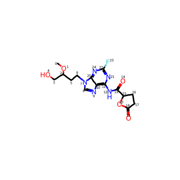 COC(CO)CCn1cnc2c(NC(=O)C3CCC(=O)O3)nc(F)nc21